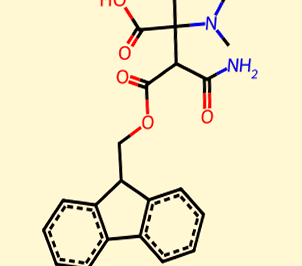 CN(C)C(C)(C(=O)O)C(C(N)=O)C(=O)OCC1c2ccccc2-c2ccccc21